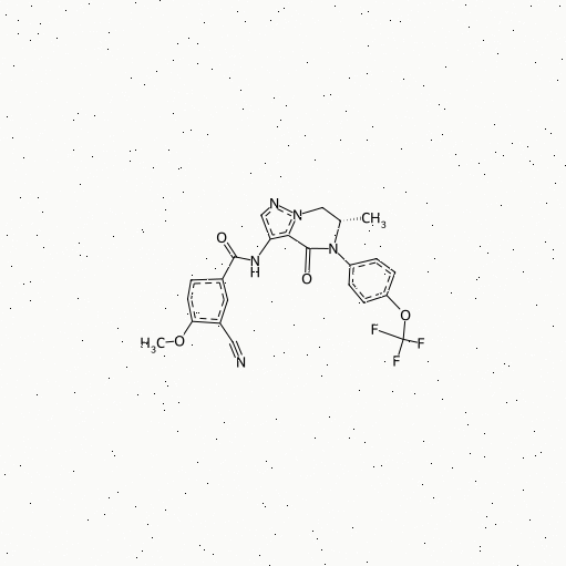 COc1ccc(C(=O)Nc2cnn3c2C(=O)N(c2ccc(OC(F)(F)F)cc2)[C@@H](C)C3)cc1C#N